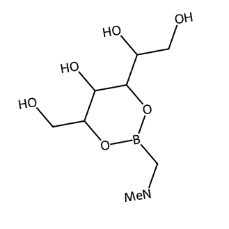 CNCB1OC(CO)C(O)C(C(O)CO)O1